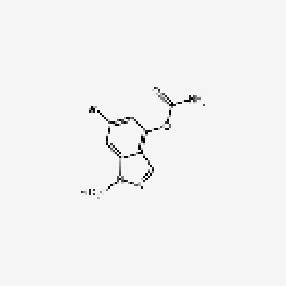 CCOC(=O)n1ncc2c(OC(N)=O)cc(Br)cc21